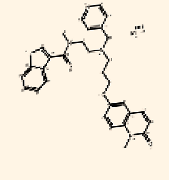 CN(CCN(CCCOc1ccc2c(ccc(=O)n2C)c1)Cc1ccncc1)C(=O)c1csc2ccccc12.Cl.Cl